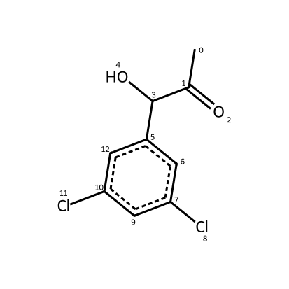 CC(=O)C(O)c1cc(Cl)cc(Cl)c1